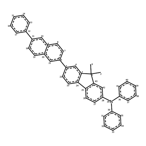 CC1(C)c2cc(-c3ccc4cc(-c5ccccc5)ccc4c3)ccc2-c2ccc(N(c3ccccc3)c3ccccc3)cc21